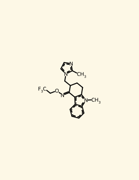 Cc1nccn1CC1CCc2c(c3ccccc3n2C)C1=NOCC(F)(F)F